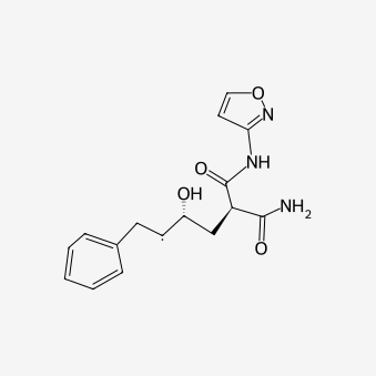 NC(=O)[C@@H](C[C@@H](O)[CH]Cc1ccccc1)C(=O)Nc1ccon1